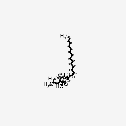 CCCCCCCCCCCCC/C=C\CCOP(=O)(O)C(CCC)[N+](C)(C)C